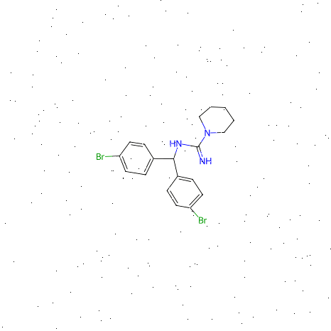 N=C(NC(c1ccc(Br)cc1)c1ccc(Br)cc1)N1CCCCC1